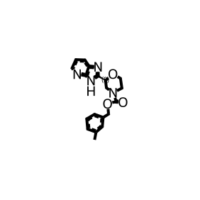 Cc1cccc(COC(=O)N2CCO[C@H](c3nc4cccnc4[nH]3)C2)c1